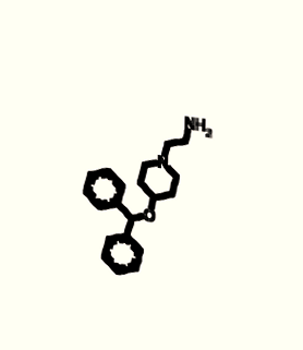 NCCN1CCC(OC(c2ccccc2)c2ccccc2)CC1